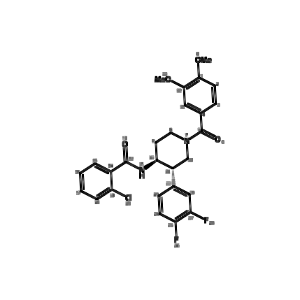 COc1ccc(C(=O)N2CC[C@H](NC(=O)c3ccccc3Cl)[C@@H](c3ccc(F)c(F)c3)C2)cc1OC